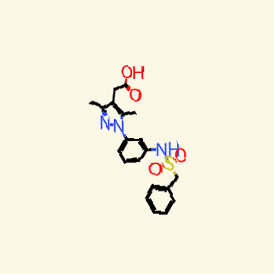 Cc1nn(-c2cccc(NS(=O)(=O)Cc3ccccc3)c2)c(C)c1CC(=O)O